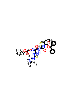 C=CC1=C(C(=O)OC(c2ccccc2)c2ccccc2)N2C(=O)C(NC(=O)/C(=N/OCC(=O)OC(C)(C)C)c3nsc(/N=C/N(C)C)n3)[C@H]2SC1